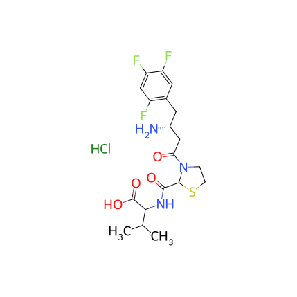 CC(C)C(NC(=O)C1SCCN1C(=O)C[C@H](N)Cc1cc(F)c(F)cc1F)C(=O)O.Cl